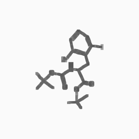 CC(C)(C)OC(=O)NC(Cc1c(Br)cccc1I)C(=O)OC(C)(C)C